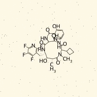 C[C@H]1NC(=O)C(C2CCC2)N(C)C(=O)[C@H](C)[C@H](O)[C@H](Cc2c(F)nc(F)c(F)c2F)NC(=O)[C@H]1NC(=O)c1ncccc1O